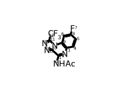 CC(=O)Nc1nc2ccc(F)cc2n2c(C(F)(F)F)nnc12